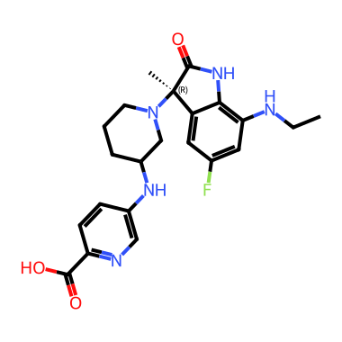 CCNc1cc(F)cc2c1NC(=O)[C@]2(C)N1CCCC(Nc2ccc(C(=O)O)nc2)C1